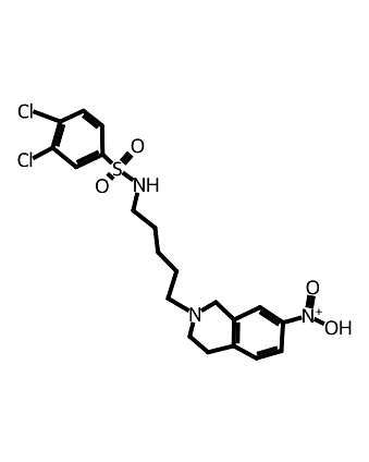 O=[N+](O)c1ccc2c(c1)CN(CCCCCNS(=O)(=O)c1ccc(Cl)c(Cl)c1)CC2